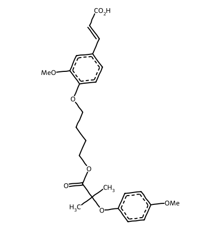 COc1ccc(OC(C)(C)C(=O)OCCCCOc2ccc(/C=C/C(=O)O)cc2OC)cc1